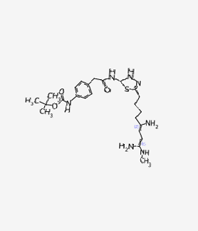 CN/C(N)=C/C=C(\N)CCCCC1=NNC(NC(=O)Cc2ccc(NC(=O)OC(C)(C)C)cc2)S1